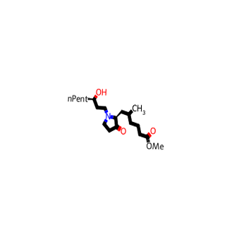 CCCCC[C@@H](O)CCN1CCC(=O)[C@@H]1CC(C)CCCC(=O)OC